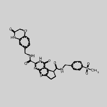 CS(=O)(=O)c1ccc(CNC(=O)C2CCc3sc4nc(C(=O)NCc5ccc6c(c5)NC(=O)CO6)[nH]c(=O)c4c32)cc1